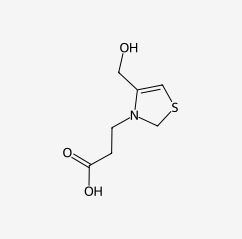 O=C(O)CCN1CSC=C1CO